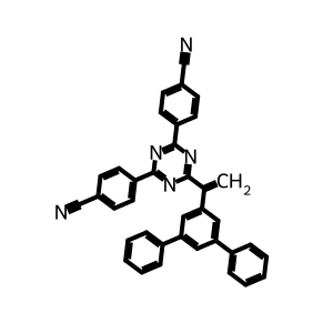 C=C(c1cc(-c2ccccc2)cc(-c2ccccc2)c1)c1nc(-c2ccc(C#N)cc2)nc(-c2ccc(C#N)cc2)n1